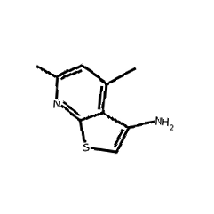 Cc1cc(C)c2c(N)csc2n1